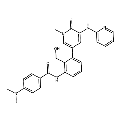 CN(C)c1ccc(C(=O)Nc2cccc(-c3cc(Nc4ccccn4)c(=O)n(C)c3)c2CO)cc1